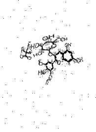 COc1cc(-c2[o+]c3cc(O)cc(O)c3cc2OC2O[C@H](CO)[C@@H](O)[C@H](O)[C@H]2O)cc(OC)c1O.O=C([O-])C(F)(F)F